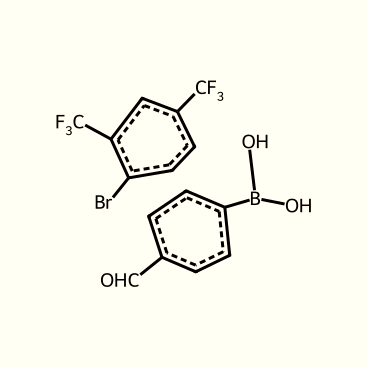 FC(F)(F)c1ccc(Br)c(C(F)(F)F)c1.O=Cc1ccc(B(O)O)cc1